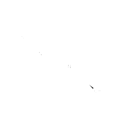 CSC(C)c1ccc(N2CC[C@H](O)C[C@H]2C)cn1